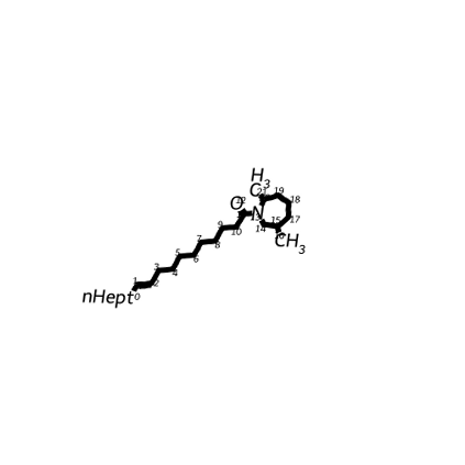 CCCCCCC/C=C/CCCCCCCCC(=O)N1CC(C)CCCC1C